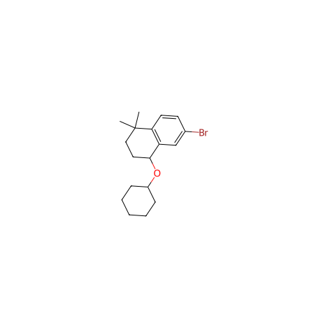 CC1(C)CCC(OC2CCCCC2)c2cc(Br)ccc21